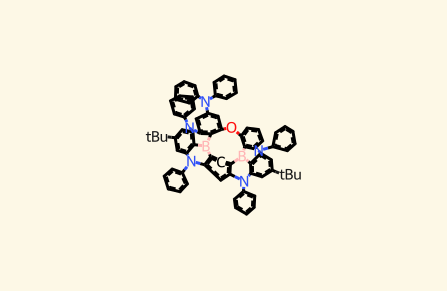 CC(C)(C)c1cc2c3c(c1)N(c1ccccc1)c1cccc4c1B3c1cc3c(cc1N2c1ccccc1)N(c1ccccc1)c1cc(C(C)(C)C)cc2c1B3c1c(cc(N(c3ccccc3)c3ccccc3)cc1N2c1ccccc1)O4